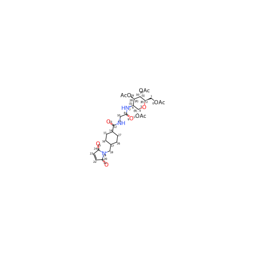 CC(=O)OC[C@H]1O[C@H](OC(C)=O)[C@@H](NC(=O)CNC(=O)C2CCC(CN3C(=O)C=CC3=O)CC2)[C@@H](OC(C)=O)[C@@H]1OC(C)=O